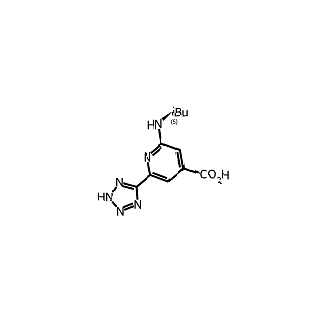 CC[C@H](C)Nc1cc(C(=O)O)cc(-c2nn[nH]n2)n1